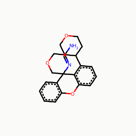 NC1=NC2(COC1)c1ccccc1Oc1cccc(C3CCOCC3)c12